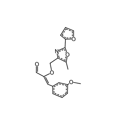 COc1cccc(C=C(C=O)OCc2nc(-c3ccco3)oc2C)c1